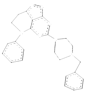 c1ccc(CN2CCN(c3nc4c5c(n[nH]c5n3)CCN4c3ccccc3)CC2)cc1